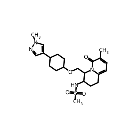 Cc1ccc2n(c1=O)C(COC1CCC(c3cnn(C)c3)CC1)C(NS(C)(=O)=O)CC2